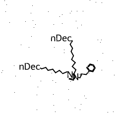 CCCCCCCCCCCCCCCCCCCc1n(CCCCCCCCCCCCCCCCCC)cc[n+]1CCCc1ccccc1